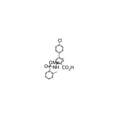 COP(=O)(Nc1cc(-c2ccc(Cl)cc2)sc1C(=O)O)c1ccccc1C